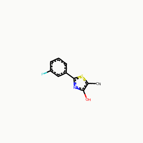 N#Cc1sc(-c2cccc(F)c2)nc1O